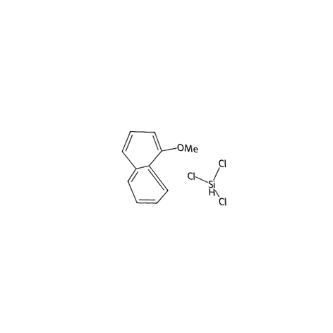 COc1cccc2ccccc12.Cl[SiH](Cl)Cl